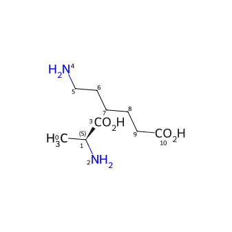 C[C@H](N)C(=O)O.NCCCCCC(=O)O